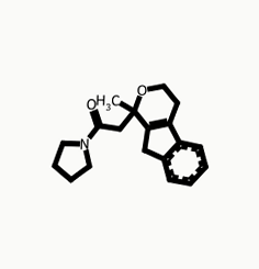 CC1(CC(=O)N2CCCC2)OCCC2=C1Cc1ccccc12